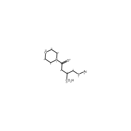 CC(=O)SCC(CC(=O)N1CCOCC1)C(=O)O